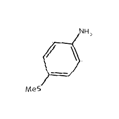 CSc1c[c]c(N)[c]c1